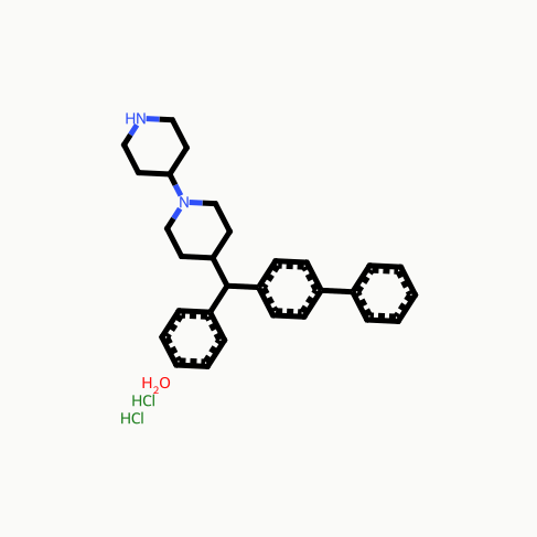 Cl.Cl.O.c1ccc(-c2ccc(C(c3ccccc3)C3CCN(C4CCNCC4)CC3)cc2)cc1